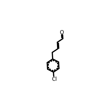 O=CC=CCc1ccc(Cl)cc1